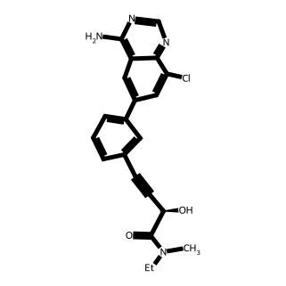 CCN(C)C(=O)[C@H](O)C#Cc1cccc(-c2cc(Cl)c3ncnc(N)c3c2)c1